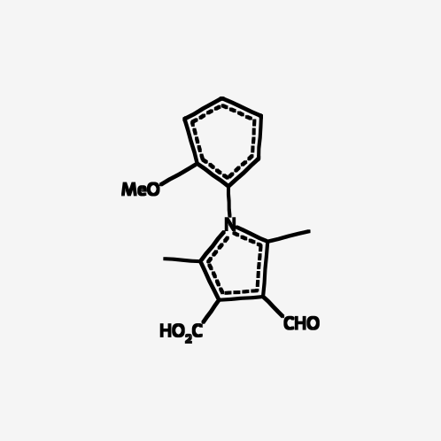 COc1ccccc1-n1c(C)c(C=O)c(C(=O)O)c1C